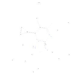 Cc1nc2ncnn2c(C2CC2)c1C